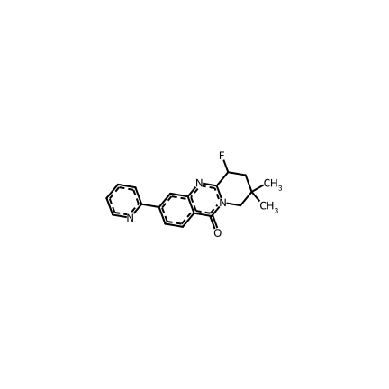 CC1(C)CC(F)c2nc3cc(-c4ccccn4)ccc3c(=O)n2C1